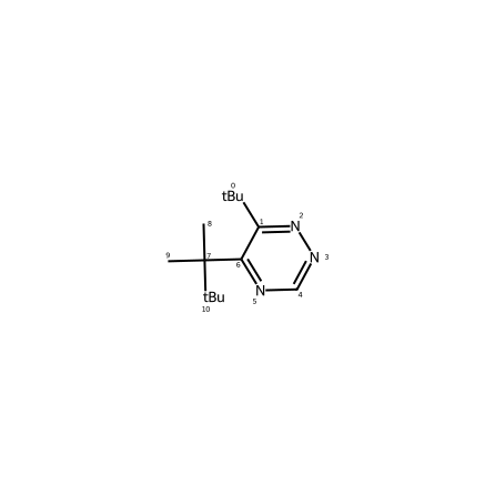 CC(C)(C)c1nncnc1C(C)(C)C(C)(C)C